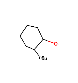 CCCCC1CCCCC1[O]